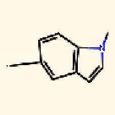 [CH2]c1ccc2c(ccn2C)c1